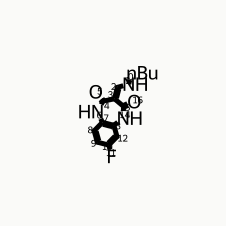 CCCCNC=C1C(=O)Nc2ccc(F)cc2NC1=O